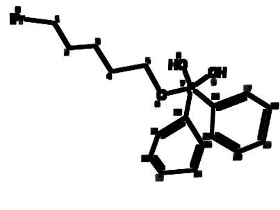 CC(C)CCCCCOP(O)(O)(c1ccccc1)c1ccccc1